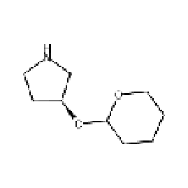 C1CCC(O[C@H]2CCNC2)OC1